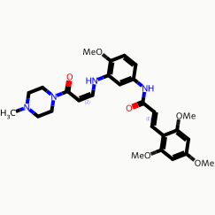 COc1cc(OC)c(/C=C/C(=O)Nc2ccc(OC)c(N/C=C\C(=O)N3CCN(C)CC3)c2)c(OC)c1